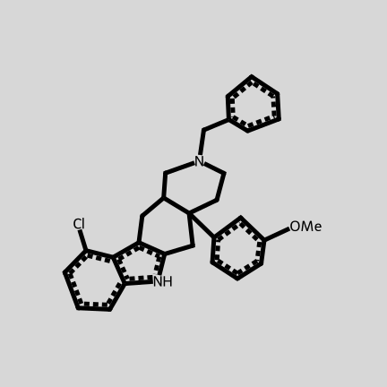 COc1cccc(C23CCN(Cc4ccccc4)CC2Cc2c([nH]c4cccc(Cl)c24)C3)c1